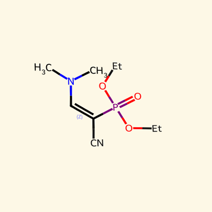 CCOP(=O)(OCC)/C(C#N)=C\N(C)C